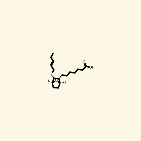 CCC=CCS[C@H]1[C@@H](CCCCCCC(=O)O)[C@H]2CC[C@@H]1O2